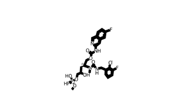 COP(O)(=P)OCC(O)C[C@@H](COC(=O)Nc1cc2cc(F)ccc2cn1)N(C)C(=O)NCc1cccc(F)c1Cl